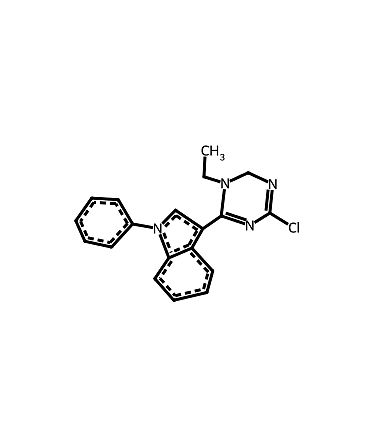 CCN1CN=C(Cl)N=C1c1cn(-c2ccccc2)c2ccccc12